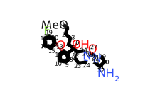 COCCCC[C@@](O)(c1ccccc1Oc1cccc(F)c1)[C@@H]1CCCN(C(=O)N2CC[C@H](N)C2)C1